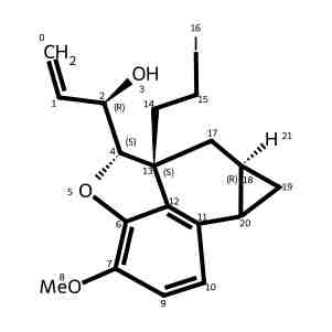 C=C[C@@H](O)[C@H]1Oc2c(OC)ccc3c2[C@@]1(CCI)C[C@H]1CC31